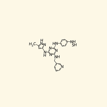 Cc1cc(Nc2nc(NCc3cccnc3)nc(Nc3ccc(NS)cc3)n2)n[nH]1